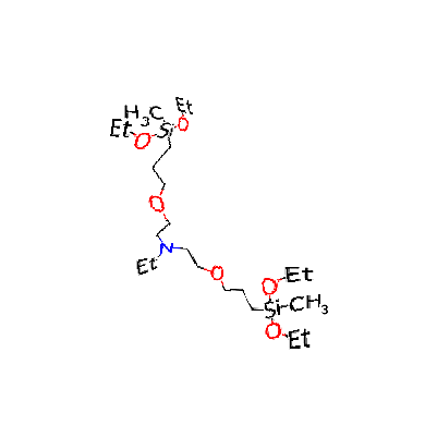 CCO[Si](C)(CCCOCCN(CC)CCOCCC[Si](C)(OCC)OCC)OCC